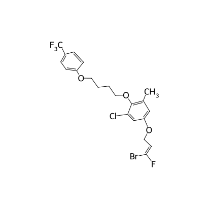 Cc1cc(OC/C=C(/F)Br)cc(Cl)c1OCCCCOc1ccc(C(F)(F)F)cc1